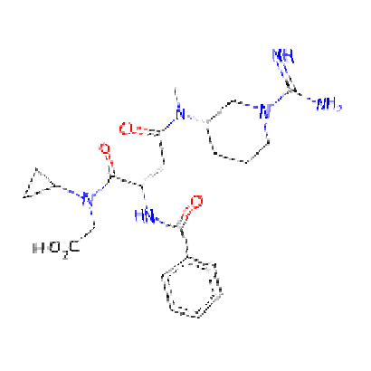 CN(C(=O)C[C@H](NC(=O)c1ccccc1)C(=O)N(CC(=O)O)C1CC1)[C@H]1CCCN(C(=N)N)C1